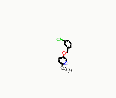 O=C(O)c1ccc(OCc2cccc(Cl)c2)cn1